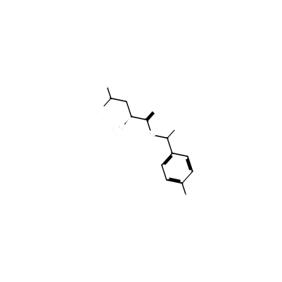 CC(C)C[C@H](N)C(=O)NC(C)c1ccc(F)cc1